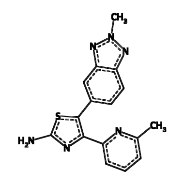 Cc1cccc(-c2nc(N)sc2-c2ccc3nn(C)nc3c2)n1